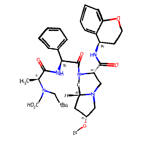 CCO[C@@H]1C[C@@H]2CN(C(=O)[C@@H](NC(=O)[C@H](C)N(CC(C)(C)C)C(=O)O)c3ccccc3)[C@H](C(=O)N[C@@H]3CCOc4ccccc43)CN2C1